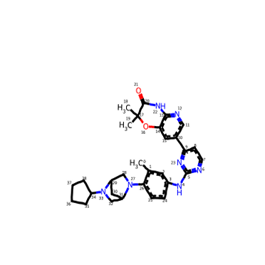 Cc1cc(Nc2nccc(-c3cnc4c(c3)OC(C)(C)C(=O)N4)n2)ccc1N1CC2CC1CN2C1CCCC1